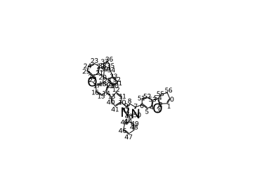 C1=Cc2oc3cc(-c4cc(-c5ccc(-c6ccc7c(c6)C6(c8ccccc8O7)c7ccccc7-c7ccccc76)cc5)nc(-c5ccccc5)n4)ccc3c2CC1